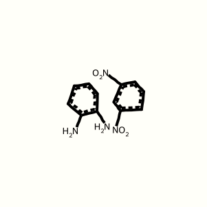 Nc1ccccc1N.O=[N+]([O-])c1cccc([N+](=O)[O-])c1